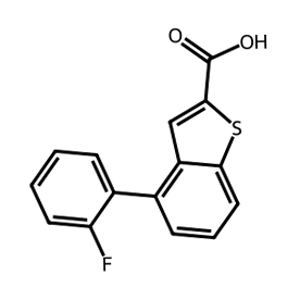 O=C(O)c1cc2c(-c3ccccc3F)cccc2s1